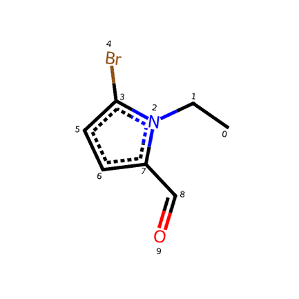 CCn1c(Br)ccc1C=O